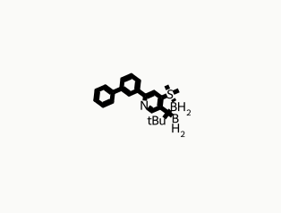 BC(B)(c1cnc(-c2cccc(-c3ccccc3)c2)cc1S(C)(C)C)C(C)(C)C